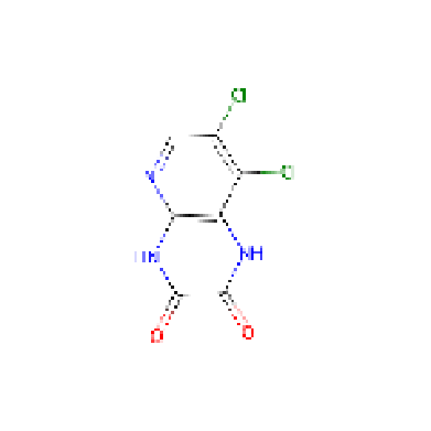 O=c1[nH]c2ncc(Cl)c(Cl)c2[nH]c1=O